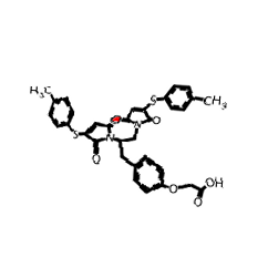 Cc1ccc(SC2=CC(=O)N(CC(Cc3ccc(OCC(=O)O)cc3)N3C(=O)C=C(Sc4ccc(C)cc4)C3=O)C2=O)cc1